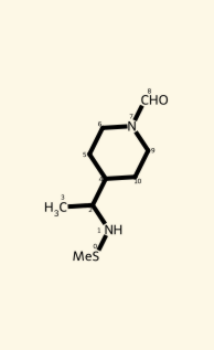 CSNC(C)C1CCN(C=O)CC1